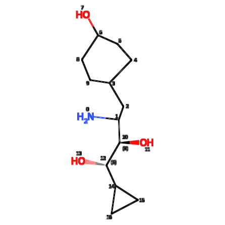 NC(CC1CCC(O)CC1)[C@@H](O)[C@@H](O)C1CC1